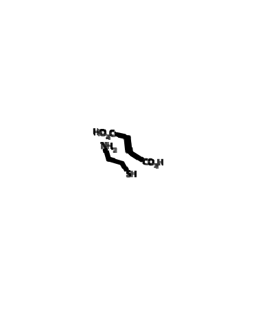 NCCS.O=C(O)C=CC(=O)O